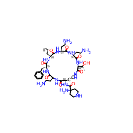 CC(C)C[C@@H]1NC(=O)[C@@H](Cc2ccccc2)NC(=O)[C@H](CCN)NC(=O)[C@@H](NC(=O)C2(N)CCNCC2)CCNC(=O)[C@H]([C@@H](C)O)NC(=O)[C@H](CCN)NC(=O)[C@H](CCN)NC1=O